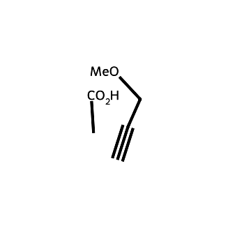 C#CCOC.CC(=O)O